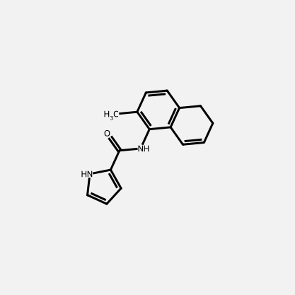 Cc1ccc2c(c1NC(=O)c1ccc[nH]1)C=CCC2